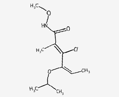 C/C=C(OC(C)C)\C(Cl)=C(/C)C(=O)NOC